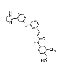 O=C(/C=C/c1cccc(Oc2ccnc(C3=NCCN3)c2)c1)Nc1ccc(CO)c(C(F)(F)F)c1